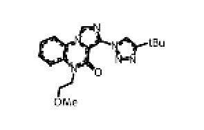 COCCn1c(=O)c2c(-n3cc(C(C)(C)C)nn3)ncn2c2ccccc21